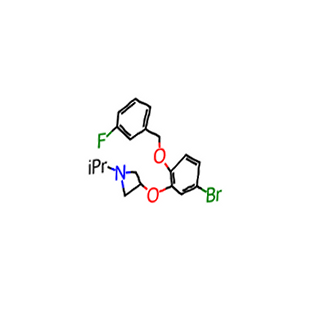 CC(C)N1CC(Oc2cc(Br)ccc2OCc2cccc(F)c2)C1